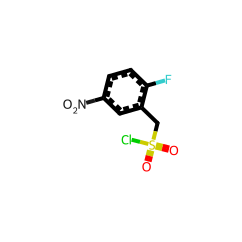 O=[N+]([O-])c1ccc(F)c(CS(=O)(=O)Cl)c1